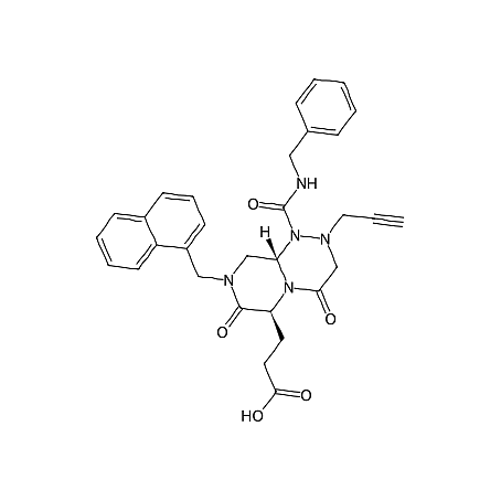 C#CCN1CC(=O)N2[C@@H](CCC(=O)O)C(=O)N(Cc3cccc4ccccc34)C[C@@H]2N1C(=O)NCc1ccccc1